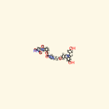 Cc1c(-c2ccc(O)cc2)n(Cc2ccc(OCCCCN3CCN(C(=O)COc4cccc5c4CN(C4CCC(=O)NC4=O)C5=O)CC3)cc2)c2ccc(O)cc12